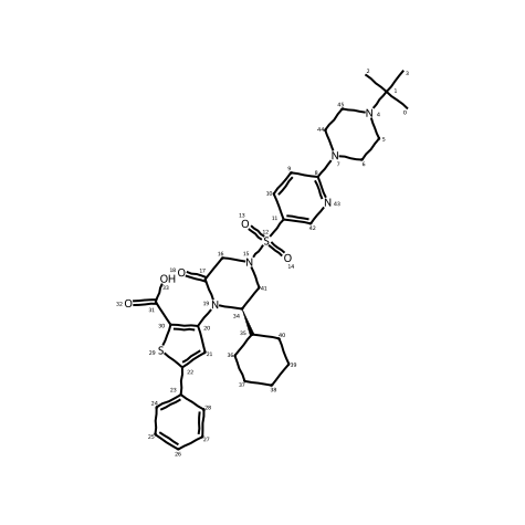 CC(C)(C)N1CCN(c2ccc(S(=O)(=O)N3CC(=O)N(c4cc(-c5ccccc5)sc4C(=O)O)[C@H](C4CCCCC4)C3)cn2)CC1